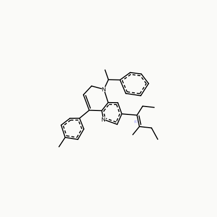 CC/C(C)=C(\CC)c1cnc2c(c1)N(C(C)c1ccccc1)CC=C2c1ccc(C)cc1